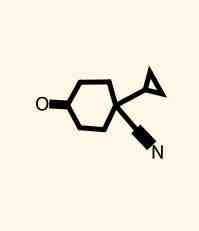 N#CC1(C2CC2)CCC(=O)CC1